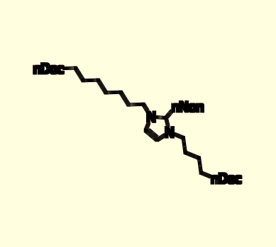 CCCCCCCCCCCCCCCCCN1C=CN(CCCCCCCCCCCCCC)C1CCCCCCCCC